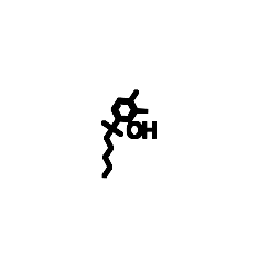 CCCCCC(C)(C)c1ccc(C)c(C)c1O